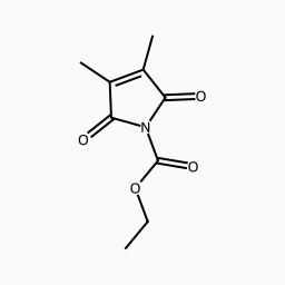 CCOC(=O)N1C(=O)C(C)=C(C)C1=O